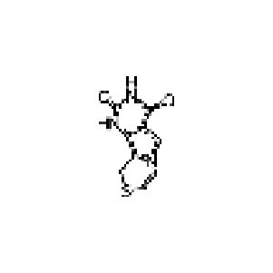 O=c1[nH]c(=O)c2cn3c(c2[nH]1)CSC=C3